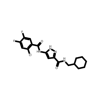 O=C(NCC1CCCCC1)c1cc(NC(=O)c2cc(F)c(F)cc2Cl)[nH]n1